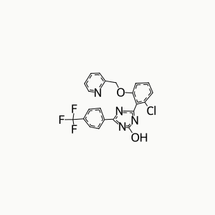 Oc1nc(-c2ccc(C(F)(F)F)cc2)nc(-c2c(Cl)cccc2OCc2ccccn2)n1